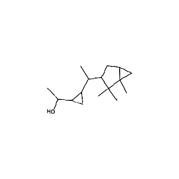 CC(O)C1CC1C(C)C1CC2CC2(C)C1(C)C